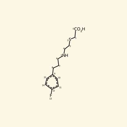 O=C(O)CSCCNCCCc1ccc(F)cc1